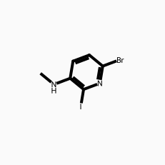 CNc1ccc(Br)nc1I